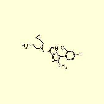 CCCN(Cc1cnn2c(-c3ccc(Cl)cc3Cl)c(C)oc12)CC1CC1